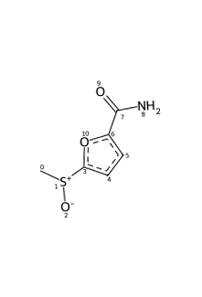 C[S+]([O-])c1ccc(C(N)=O)o1